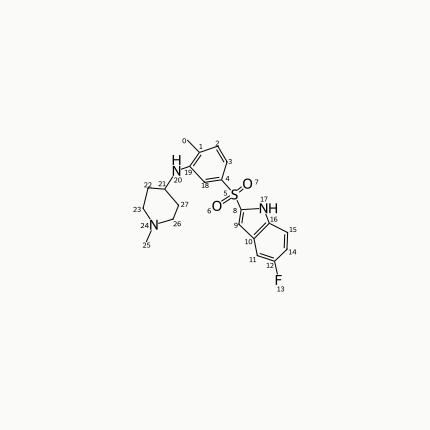 Cc1ccc(S(=O)(=O)c2cc3cc(F)ccc3[nH]2)cc1NC1CCN(C)CC1